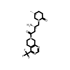 C[C@@H]1CCC(=O)N(C[C@@H](N)CC(=O)N2CCc3c(ncnc3C(F)(F)F)C2)C1